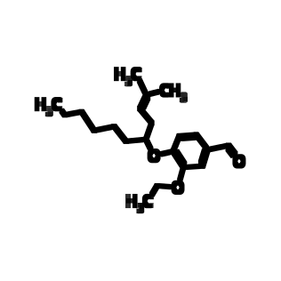 CCCCCCC(CC=C(C)C)Oc1ccc(C=O)cc1OCC